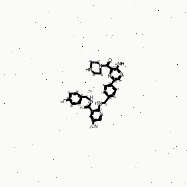 C[C@H](NC(=O)c1cc(C#N)cnc1NCc1ccc(-c2cnc(N)c(C(=O)N3CCNCC3)n2)cc1)c1ccc(F)cc1